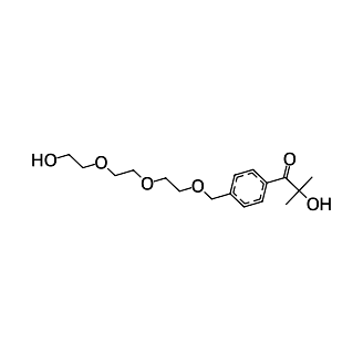 CC(C)(O)C(=O)c1ccc(COCCOCCOCCO)cc1